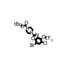 CC(C)(C)OC(=O)N1CCN(c2nc3c(OC(F)(F)F)c(Cl)cc(Br)c3o2)CC1